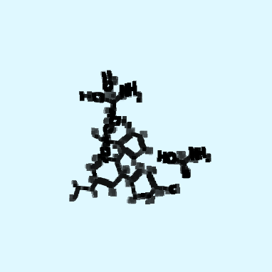 C.CCCc1cnc(-c2ccccc2S(C)(=O)=O)c(-c2ccc(Cl)cc2)c1.NC(O)=S.NC(O)=S.O